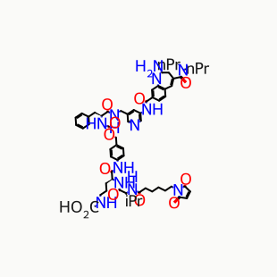 CCCN(CCC)C(=O)C1=Cc2ccc(C(=O)Nc3cncc(CNC(=O)[C@H](Cc4ccccc4)NC(=O)OCc4ccc(NC(=O)[C@H](CCCNC(=O)O)NC(=O)[C@@H](NC(=O)CCCCCN5C(=O)C=CC5=O)C(C)C)cc4)c3)cc2N=C(N)C1